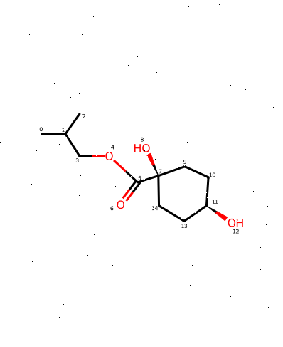 CC(C)COC(=O)[C@]1(O)CC[C@@H](O)CC1